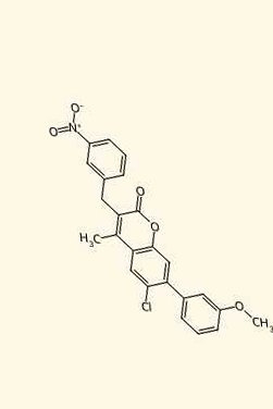 COc1cccc(-c2cc3oc(=O)c(Cc4cccc([N+](=O)[O-])c4)c(C)c3cc2Cl)c1